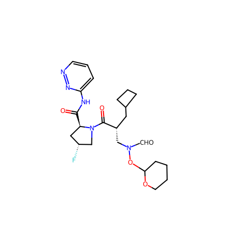 O=CN(C[C@@H](CC1CCC1)C(=O)N1C[C@H](F)C[C@H]1C(=O)Nc1cccnn1)OC1CCCCO1